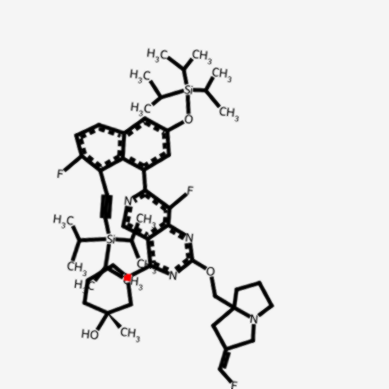 CC(C)[Si](C#Cc1c(F)ccc2cc(O[Si](C(C)C)(C(C)C)C(C)C)cc(-c3ncc4c(N5CCC[C@@](C)(O)C5)nc(OCC56CCCN5C/C(=C\F)C6)nc4c3F)c12)(C(C)C)C(C)C